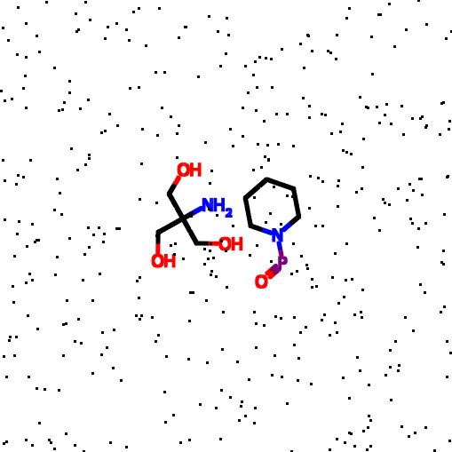 NC(CO)(CO)CO.O=PN1CCCCC1